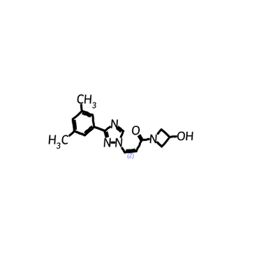 Cc1cc(C)cc(-c2ncn(/C=C\C(=O)N3CC(O)C3)n2)c1